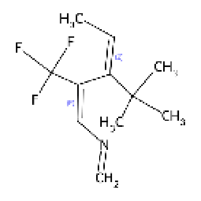 C=N/C=C(\C(=C/C)C(C)(C)C)C(F)(F)F